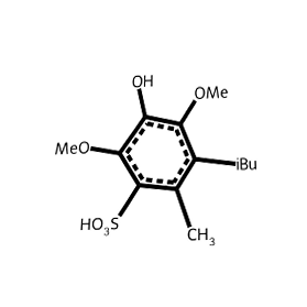 CCC(C)c1c(C)c(S(=O)(=O)O)c(OC)c(O)c1OC